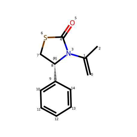 C=C(C)N1C(=O)SC[C@H]1c1ccccc1